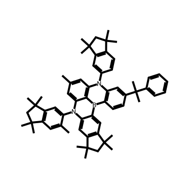 Cc1cc2c3c(c1)N(c1cc4c(cc1C)C(C)(C)CC4(C)C)c1cc4c(cc1B3c1ccc(C(C)(C)c3ccccc3)cc1N2c1ccc2c(c1)C(C)(C)CC2(C)C)C(C)(C)CC4(C)C